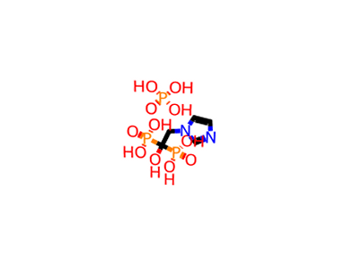 O=P(O)(O)C(O)(Cn1ccnc1)P(=O)(O)O.O=P(O)(O)O